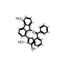 CCCC1=CCC(c2cccc3c2[CH]([Zr]=[C](c2ccccc2)c2ccccc2)c2ccccc2-3)=C1.Cl.Cl